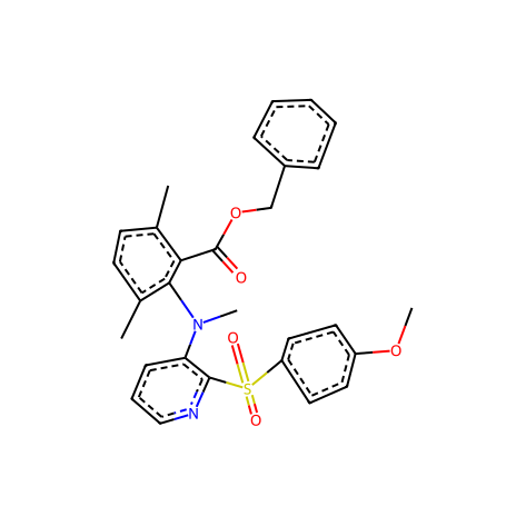 COc1ccc(S(=O)(=O)c2ncccc2N(C)c2c(C)ccc(C)c2C(=O)OCc2ccccc2)cc1